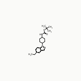 CCc1ccc2c(cnn2C2CCC(NC(=O)OC(C)(C)C)CC2)c1